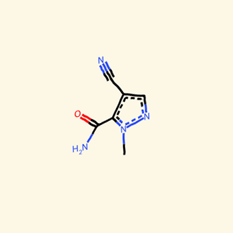 Cn1ncc(C#N)c1C(N)=O